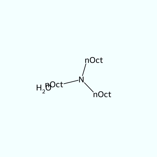 CCCCCCCCN(CCCCCCCC)CCCCCCCC.O